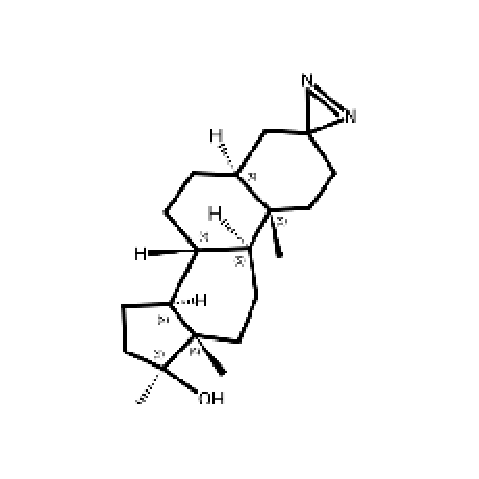 C[C@]12CCC3(C[C@@H]1CC[C@@H]1[C@@H]2CC[C@@]2(C)[C@H]1CC[C@]2(C)O)N=N3